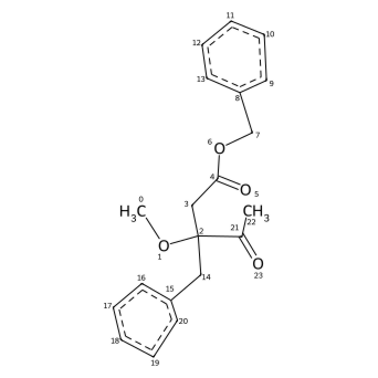 COC(CC(=O)OCc1ccccc1)(Cc1ccccc1)C(C)=O